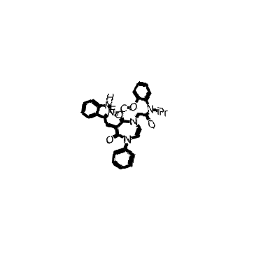 CC(C)N(C(=O)CN1C=CN(c2ccccc2)C(=O)C(=Cc2n[nH]c3ccccc23)C1=O)c1ccccc1OC(F)(F)F